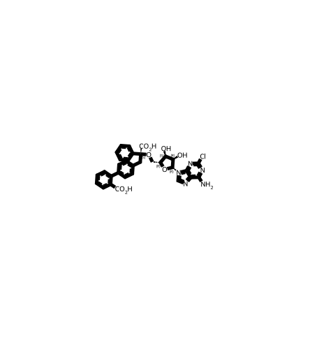 Nc1nc(Cl)nc2c1ncn2[C@@H]1O[C@H](CO[C@](Cc2ccc(-c3ccccc3C(=O)O)cc2)(C(=O)O)c2ccccc2)[C@@H](O)[C@H]1O